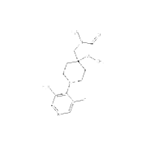 COC1(CN(C)C=O)CCN(c2c(N)cncc2F)CC1